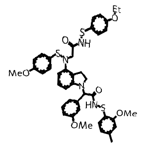 CCOc1ccc(SNC(=O)CN(Sc2ccc(OC)cc2)c2cccc3c2CCN3C(C(=O)NSc2ccc(C)cc2OC)c2cccc(OC)c2)cc1